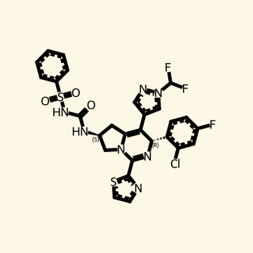 O=C(N[C@H]1CC2=C(c3cnn(C(F)F)c3)[C@H](c3ccc(F)cc3Cl)N=C(c3nccs3)N2C1)NS(=O)(=O)c1ccccc1